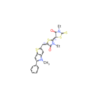 CCN1C(=O)/C(=c2\s/c(=C/c3cc4c(cc(-c5ccccc5)n4C)s3)c(=O)n2CC)SC1=S